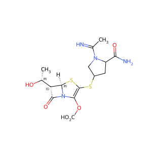 CC(=N)N1CC(SC2=C(OC(=O)O)N3C(=O)[C@H]([C@@H](C)O)[C@H]3S2)CC1C(N)=O